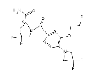 NC(=O)[C@@H]1CC(F)(F)CN1C(=O)c1ccc(N2CC(F)(F)C2)c(OCCF)n1